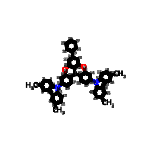 Cc1ccc2c(c1)c1cc(C)ccc1n2-c1ccc2c(c1)Oc1cc(-c3ccccc3)cc3c1B2c1ccc(-n2c4ccc(C)cc4c4cc(C)ccc42)cc1O3